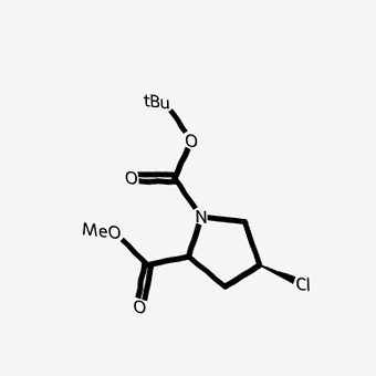 COC(=O)C1C[C@H](Cl)CN1C(=O)OC(C)(C)C